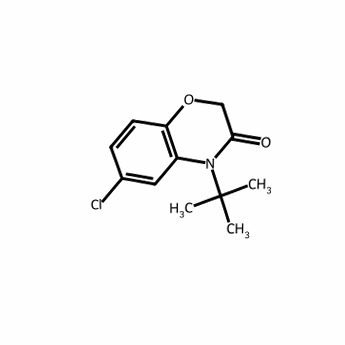 CC(C)(C)N1C(=O)COc2ccc(Cl)cc21